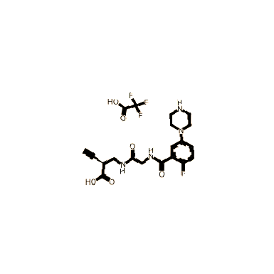 C#C[C@@H](CNC(=O)CNC(=O)c1cc(N2CCNCC2)ccc1F)C(=O)O.O=C(O)C(F)(F)F